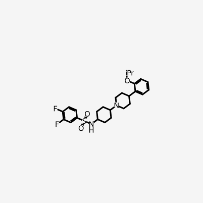 CC(C)Oc1ccccc1C1CCN(C2CCC(NS(=O)(=O)c3ccc(F)c(F)c3)CC2)CC1